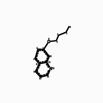 CCCCOc1ccc2cccnc2c1